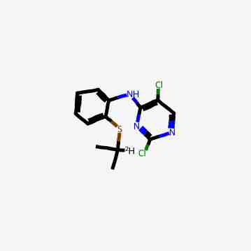 [2H]C(C)(C)Sc1ccccc1Nc1nc(Cl)ncc1Cl